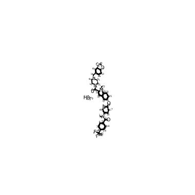 Br.CN(C(=O)c1ccc(C(F)(F)F)cc1)c1ccc(Oc2ccc3c(c2)cc(C(=O)N2CCN(Cc4ccc5c(c4)OCO5)CC2)n3C)nc1